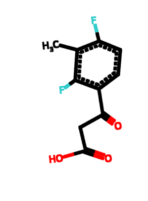 Cc1c(F)ccc(C(=O)CC(=O)O)c1F